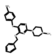 CN1CCN(c2ncc(Sc3ccc(N)cc3)c(OCc3ccccc3)n2)CC1